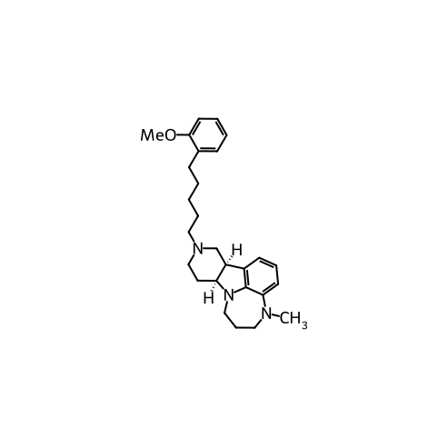 COc1ccccc1CCCCCN1CC[C@H]2[C@@H](C1)c1cccc3c1N2CCCN3C